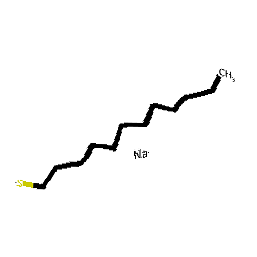 CCCCCCCCCCCC[S].[Na]